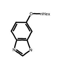 CCCCCCOc1ccc2c(c1)[N]C=N2